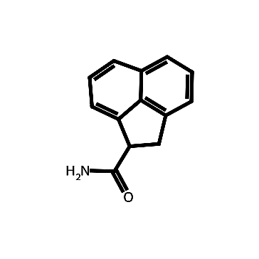 NC(=O)C1Cc2cccc3cccc1c23